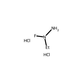 CCN(N)F.Cl.Cl